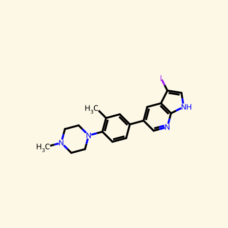 Cc1cc(-c2cnc3[nH]cc(I)c3c2)ccc1N1CCN(C)CC1